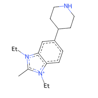 CCn1c(C)[n+](CC)c2ccc(C3CCNCC3)cc21